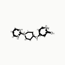 O=c1cc(OC2CCN(c3ncccn3)CC2)cc[nH]1